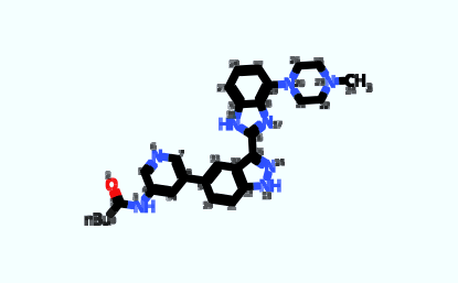 CCCCC(=O)Nc1cncc(-c2ccc3[nH]nc(-c4nc5c(N6CCN(C)CC6)cccc5[nH]4)c3c2)c1